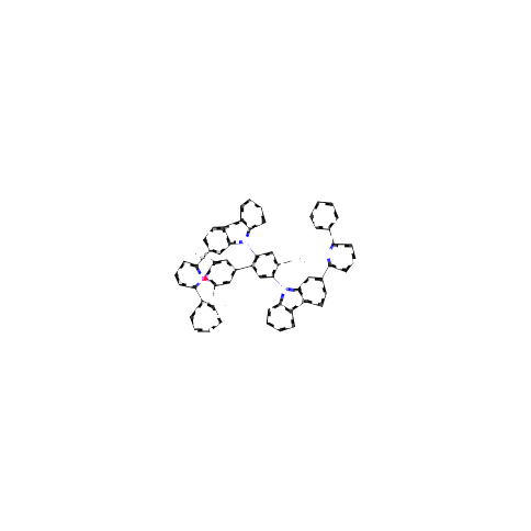 N#Cc1cc(-c2cc(-n3c4ccccc4c4ccc(-c5cccc(-c6ccccc6)n5)cc43)c(C#N)cc2-n2c3ccccc3c3ccc(-c4cccc(-c5ccccc5)n4)cc32)cc(C(F)(F)F)c1